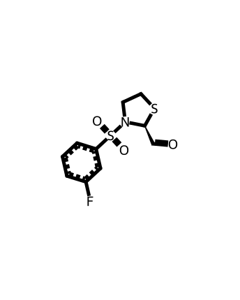 O=C[C@@H]1SCCN1S(=O)(=O)c1cccc(F)c1